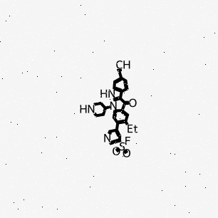 C#Cc1ccc2c(c1)[nH]c1c2c(=O)c2cc(CC)c(-c3cncc(S(=O)(=O)F)c3)cc2n1C1CCNCC1